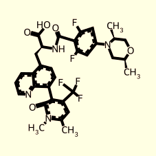 Cc1cc(C(F)(F)F)c(-c2ccc(C[C@H](NC(=O)c3c(F)cc(N4C[C@H](C)OC[C@@H]4C)cc3F)C(=O)O)c3cccnc23)c(=O)n1C